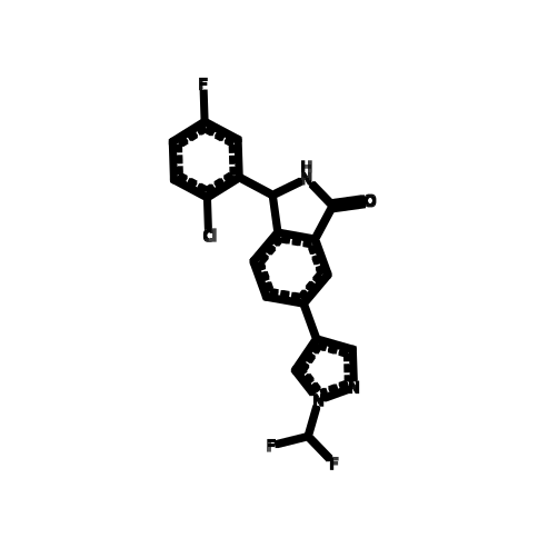 O=C1NC(c2cc(F)ccc2Cl)c2ccc(-c3cnn(C(F)F)c3)cc21